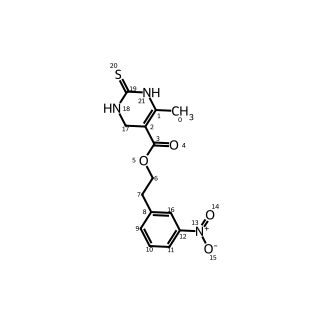 CC1=C(C(=O)OCCc2cccc([N+](=O)[O-])c2)CNC(=S)N1